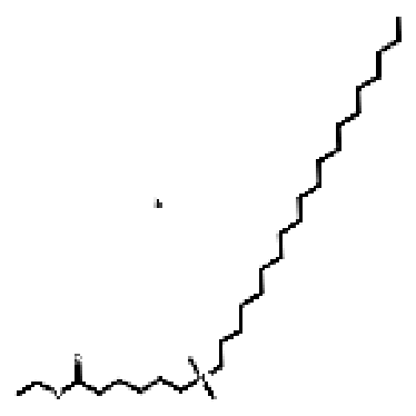 CCCCCCCCCCCCCCCCCCCC[N+](C)(C)CCCCCC(=O)OCC.[Br-]